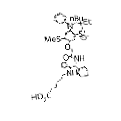 CCCCC1(CC)CN(c2ccccc2)c2cc(SC)c(OCC(=O)N[C@@H](C(=O)NCCCCCC(=O)O)c3ccccc3)cc2[S+]([O-])C1